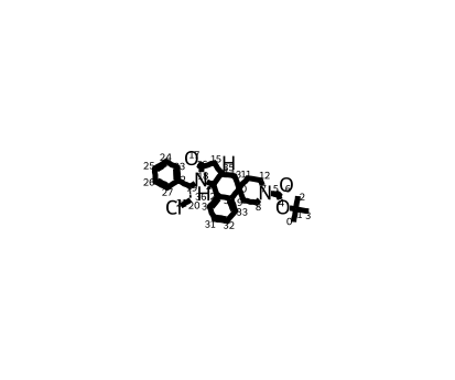 CC(C)(C)OC(=O)N1CCC2(CC1)C[C@@H]1CC(=O)N([C@H](CCl)c3ccccc3)[C@@H]1c1ccccc12